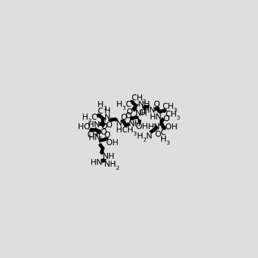 CC(C)[C@H](NC(=O)CNC(=O)[C@@H](NC(=O)[C@@H](NC(=O)CN)[C@@H](C)O)C(C)C)C(=O)N[C@@H](CO)C(=O)N[C@@H](C)C(=O)NCC(=O)N[C@H](C(=O)N[C@H](C(=O)N[C@@H](CCCNC(=N)N)C(=O)O)[C@@H](C)O)C(C)C